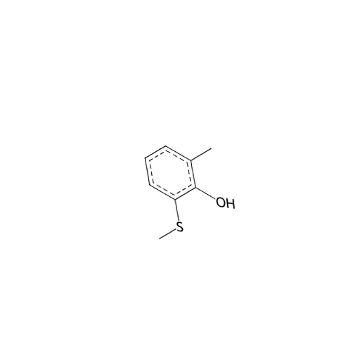 CSc1cccc(C)c1O